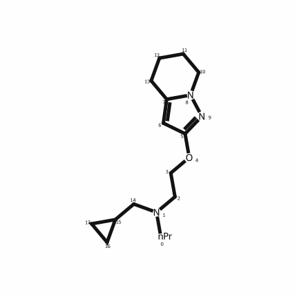 CCCN(CCOc1cc2n(n1)CCCC2)CC1CC1